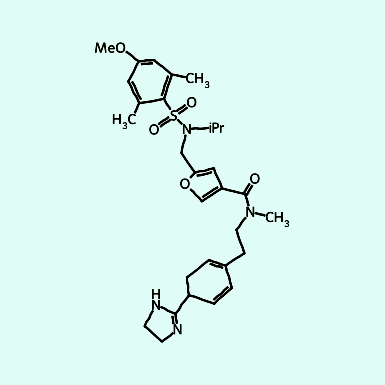 COc1cc(C)c(S(=O)(=O)N(Cc2cc(C(=O)N(C)CCC3=CCC(C4=NCCN4)C=C3)co2)C(C)C)c(C)c1